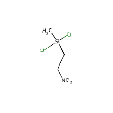 C[Si](Cl)(Cl)CC[N+](=O)[O-]